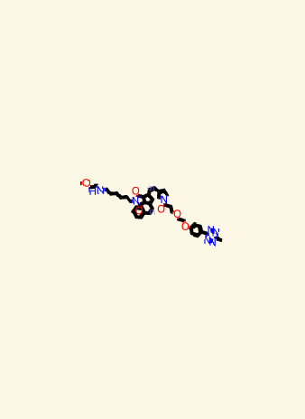 COCCNCCCCCCN1C(=O)C2C(/C=C\C3=CCN(C(=O)CCOCCOc4ccc(-c5nnc(C)nn5)cc4)C3)CC(/C=C\c3ccccc3)C2C1=O